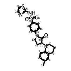 Cc1ccc2c(c1)CCCN2[C@H]1CCN(c2ccc(S(=O)(=O)Nc3nccs3)cc2)C1=O